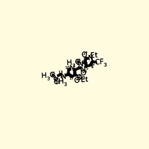 CCn1c(C(F)(F)F)cc2nc(-c3ncc(N=CN(C)C)cc3S(=O)(=O)CC)n(C)c2c1=O